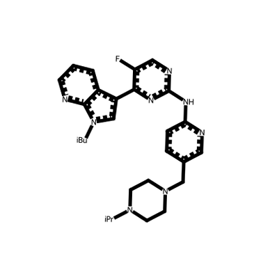 CCC(C)n1cc(-c2nc(Nc3ccc(CN4CCN(C(C)C)CC4)cn3)ncc2F)c2cccnc21